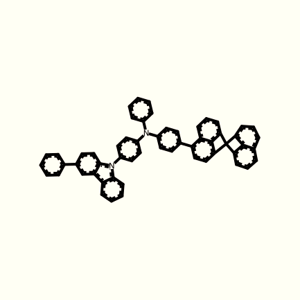 c1ccc(-c2ccc3c(c2)c2ccccc2n3-c2ccc(N(c3ccccc3)c3ccc(-c4ccc5c6c(cccc46)C54c5cccc6cccc4c56)cc3)cc2)cc1